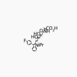 CC(C)n1c(/C=C/[C@H](O)C[C@H](O)CC(=O)N[C@H](C)C(=O)O)c(-c2ccc(F)cc2)c2ccccc21